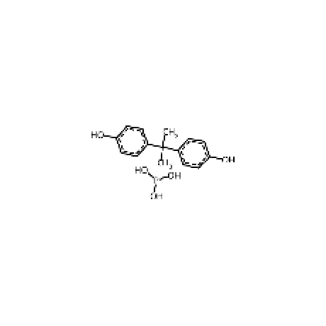 CC(C)(c1ccc(O)cc1)c1ccc(O)cc1.OP(O)O